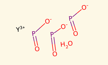 O.O=P[O-].O=P[O-].O=P[O-].[Y+3]